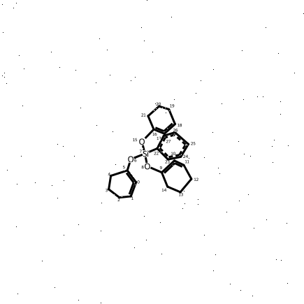 C1=CCCCC=1O[Si](OC1=C=CCCC1)(OC1=C=CCCC1)c1ccccc1